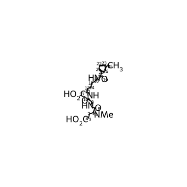 CNC(CCC(=O)O)C(=O)NCC(=O)NC(CCCCNC(=O)c1cccc(C)c1)C(=O)O